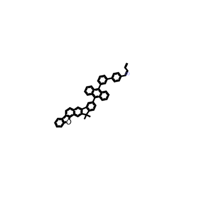 C=C/C=C\c1ccc(-c2cccc(-c3c4ccccc4c(-c4ccc5c(c4)-c4cc6ccc7c8ccccc8oc7c6cc4C5(C)C)c4ccccc34)c2)cc1